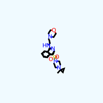 CC1(N2CCN(S(=O)(=O)c3cnc(NCCN4CCOCC4)c4ccccc34)CC2)CC1